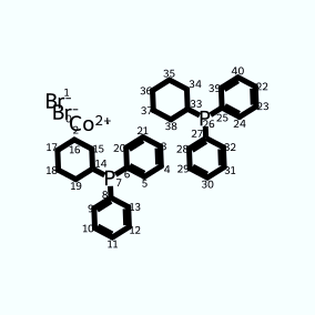 [Br-].[Br-].[Co+2].c1ccc(P(c2ccccc2)C2CCCCC2)cc1.c1ccc(P(c2ccccc2)C2CCCCC2)cc1